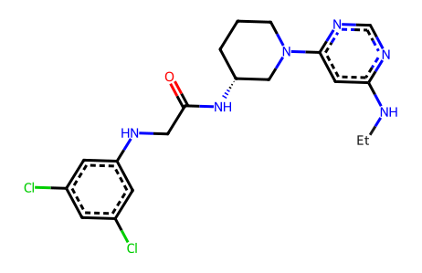 CCNc1cc(N2CCC[C@@H](NC(=O)CNc3cc(Cl)cc(Cl)c3)C2)ncn1